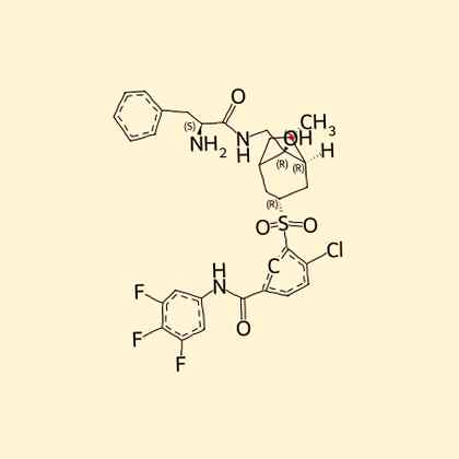 C[C@H]1CC2C[C@@H](S(=O)(=O)c3cc(C(=O)Nc4cc(F)c(F)c(F)c4)ccc3Cl)C[C@H]1[C@@]2(O)CNC(=O)[C@@H](N)Cc1ccccc1